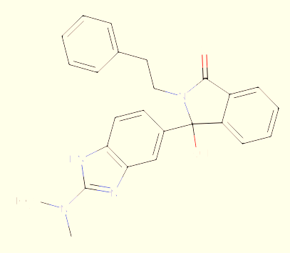 CN(C(=O)O)c1nc2cc(C3(O)c4ccccc4C(=O)N3CCc3ccccc3)ccc2[nH]1